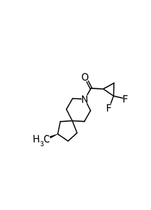 C[C@@H]1CCC2(CCN(C(=O)C3CC3(F)F)CC2)C1